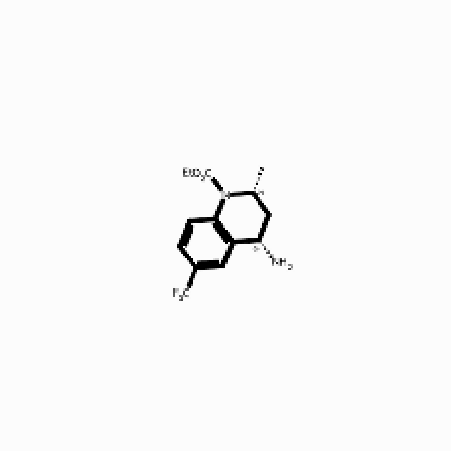 CCOC(=O)N1c2ccc(C(F)(F)F)cc2[C@@H](N)C[C@H]1C